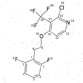 Fc1cccc(F)c1CCOc1ccnc(Cl)c1C(F)(F)F